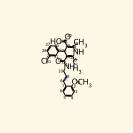 COc1ccccc1/C=C/CNC(=O)C1=C(C)NC(C)=C(C(=O)O)C1c1cccc(Cl)c1